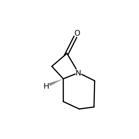 O=C1C[C@@H]2CCCCN12